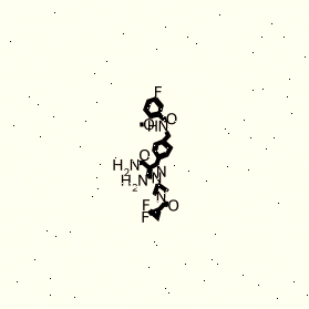 COc1ccc(F)cc1C(=O)NCc1ccc(-c2nn(C3CN(C(=O)C4CC4(F)F)C3)c(N)c2C(N)=O)cc1